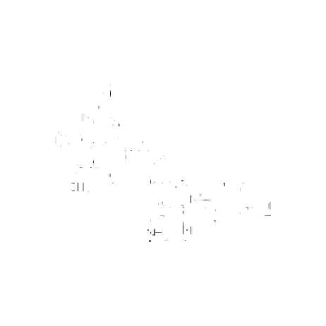 COC(=O)C1=C(C)NC(=O)NC1c1ccc(C2=NN(C3CCC(O)CC3)C(=N)/C2=C\N)cc1